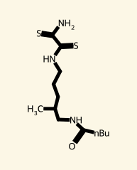 CCCCC(=O)NCC(C)CCCNC(=S)C(N)=S